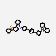 c1cc(-c2ccc(-c3ccc(-n4c5ccccc5c5c6sc7ccccc7c6ccc54)cc3)cc2)cc(-n2c3ccccc3c3ccccc32)c1